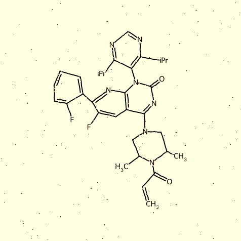 C=CC(=O)N1C(C)CN(c2nc(=O)n(-c3c(C(C)C)ncnc3C(C)C)c3nc(-c4ccccc4F)c(F)cc23)CC1C